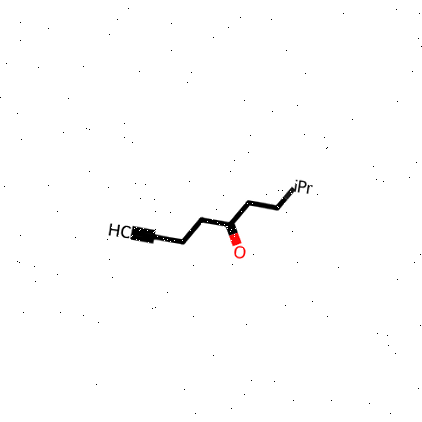 C#CCCC(=O)CCC(C)C